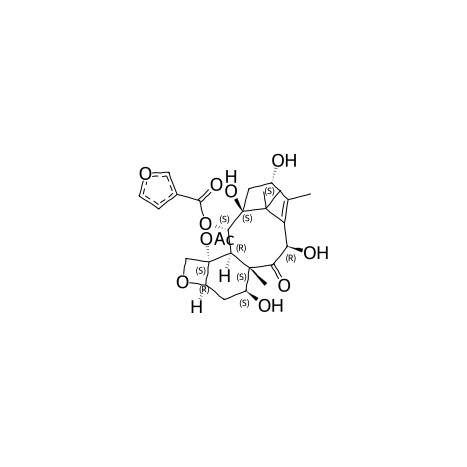 CC(=O)O[C@@]12CO[C@@H]1C[C@H](O)[C@@]1(C)C(=O)[C@H](O)C3=C(C)[C@@H](O)C[C@@](O)([C@@H](OC(=O)c4ccoc4)[C@H]21)C3(C)C